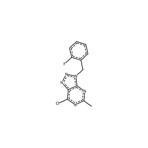 Cc1nc(Cl)c2nnn(Cc3ccccc3F)c2n1